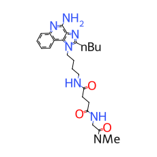 CCCCc1nc2c(N)nc3ccccc3c2n1CCCCNC(=O)CCC(=O)NCC(=O)NC